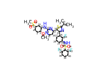 COc1ccc(S(C)(=O)=O)cc1Nc1nccc(-c2sc(C(C)C)nc2-c2cccc(NS(=O)(=O)c3c(F)cccc3F)c2F)n1